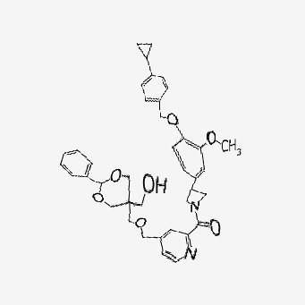 COc1cc(C2CN(C(=O)c3cc(COCC4(CO)COC(c5ccccc5)OC4)ccn3)C2)ccc1OCc1ccc(C2CC2)cc1